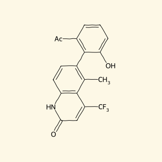 CC(=O)c1cccc(O)c1-c1ccc2[nH]c(=O)cc(C(F)(F)F)c2c1C